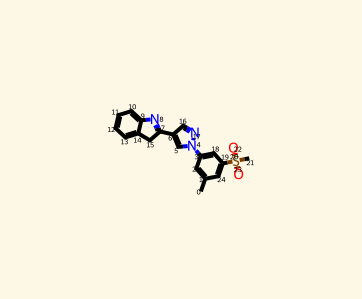 Cc1cc(-n2cc(C3=Nc4ccccc4C3)cn2)cc(S(C)(=O)=O)c1